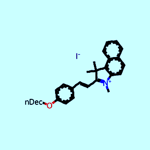 CCCCCCCCCCOc1ccc(C=CC2=[N+](C)c3ccc4ccccc4c3C2(C)C)cc1.[I-]